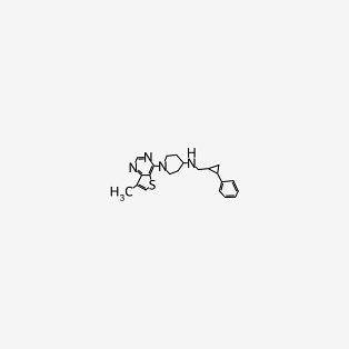 Cc1csc2c(N3CCC(NCC4CC4c4ccccc4)CC3)ncnc12